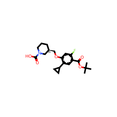 CC(C)(C)OC(=O)c1cc(C2CC2)c(OC[C@@H]2CCCN(C(=O)O)C2)cc1F